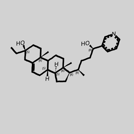 CC[C@]1(O)CC[C@@]2(C)C(=CC[C@@H]3C2CC[C@]2(C)[C@@H]([C@H](C)CC[C@@H](O)c4cccnc4)CC[C@@H]32)C1